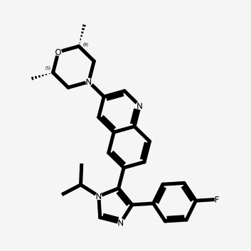 CC(C)n1cnc(-c2ccc(F)cc2)c1-c1ccc2ncc(N3C[C@@H](C)O[C@@H](C)C3)cc2c1